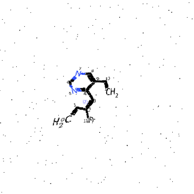 C=C/C(=C\c1ncncc1C=C)C(C)C